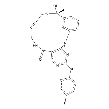 C[C@]1(O)CC/C=C\CNC(=O)c2cnc(Nc3ccc(F)cc3)nc2Nc2cccc1n2